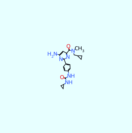 CN(CC1CC1)C(=O)c1cc(N)nc(-c2ccc(NC(=O)NC3CC3)cc2)n1